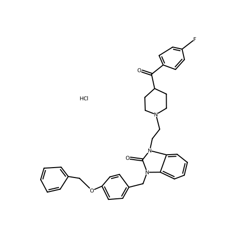 Cl.O=C(c1ccc(F)cc1)C1CCN(CCn2c(=O)n(Cc3ccc(OCc4ccccc4)cc3)c3ccccc32)CC1